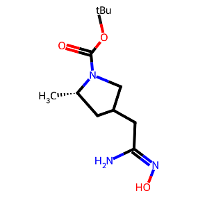 C[C@H]1CC(C/C(N)=N/O)CN1C(=O)OC(C)(C)C